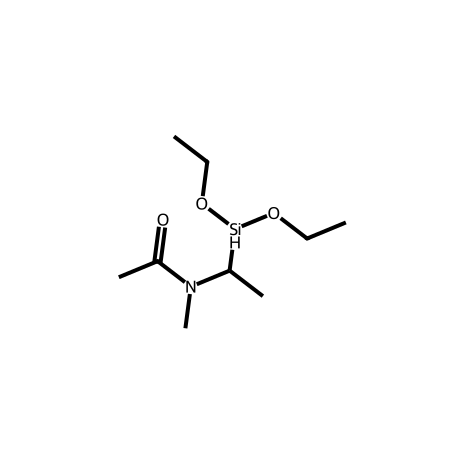 CCO[SiH](OCC)C(C)N(C)C(C)=O